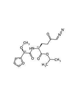 CO[C@@H](C(=O)N[C@@H](CCC(=O)C=[N+]=[N-])C(=O)OC(C)C)c1ccco1